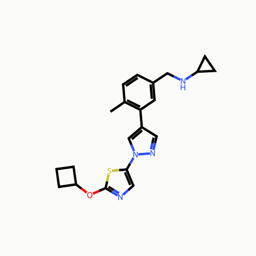 Cc1ccc(CNC2CC2)cc1-c1cnn(-c2cnc(OC3CCC3)s2)c1